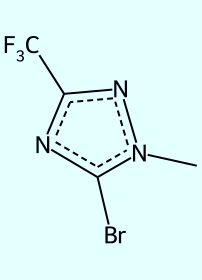 Cn1nc(C(F)(F)F)nc1Br